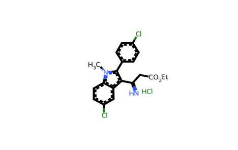 CCOC(=O)CC(=N)c1c(-c2ccc(Cl)cc2)n(C)c2ccc(Cl)cc12.Cl